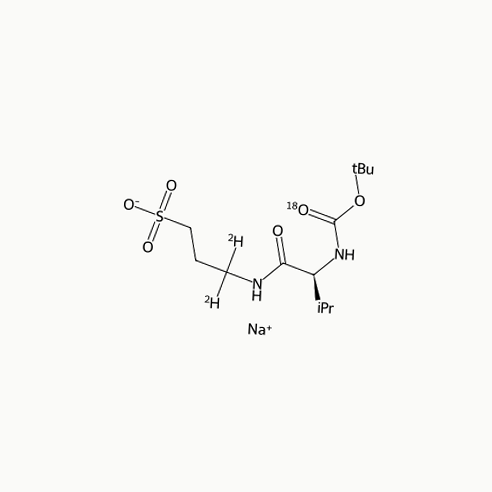 [2H]C([2H])(CCS(=O)(=O)[O-])NC(=O)[C@@H](NC(=[18O])OC(C)(C)C)C(C)C.[Na+]